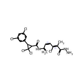 C=C(/C=C\C(Cl)=C(/C)C(=O)NN)NC(=O)C1C(c2cc(Cl)cc(Cl)c2)C1(Cl)Cl